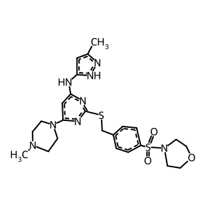 Cc1cc(Nc2cc(N3CCN(C)CC3)nc(SCc3ccc(S(=O)(=O)N4CCOCC4)cc3)n2)[nH]n1